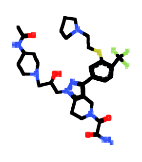 CC(=O)NC1CCN(C[C@@H](O)Cn2nc(-c3ccc(C(F)(F)F)c(SCCN4CCCC4)c3)c3c2CCN(C(=O)C(N)=O)C3)CC1